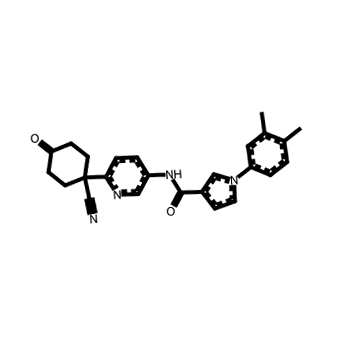 Cc1ccc(-n2ccc(C(=O)Nc3ccc(C4(C#N)CCC(=O)CC4)nc3)c2)cc1C